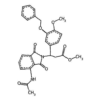 COC(=O)CC(c1ccc(OC)c(OCc2ccccc2)c1)N1C(=O)c2cccc(NC(C)=O)c2C1=O